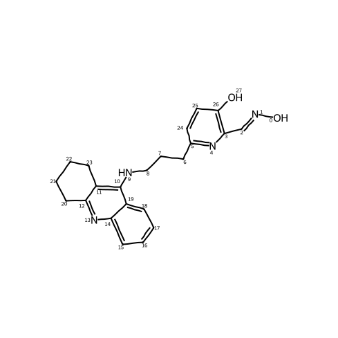 O/N=C/c1nc(CCCNc2c3c(nc4ccccc24)CCCC3)ccc1O